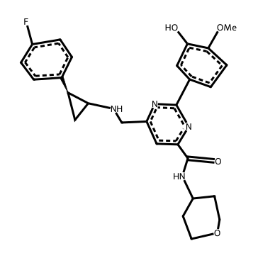 COc1ccc(-c2nc(CNC3C[C@H]3c3ccc(F)cc3)cc(C(=O)NC3CCOCC3)n2)cc1O